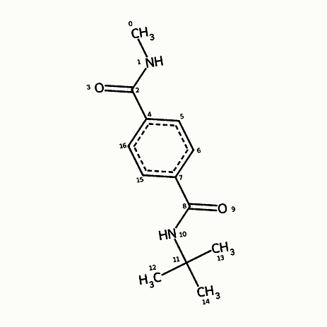 CNC(=O)c1ccc(C(=O)NC(C)(C)C)cc1